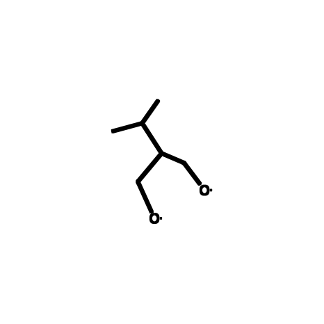 CC(C)C(C[O])C[O]